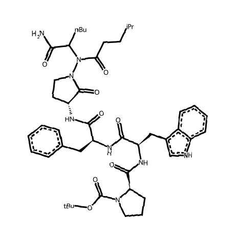 CCCCC(C(N)=O)N(C(=O)CCC(C)C)N1CC[C@@H](NC(=O)[C@H](Cc2ccccc2)NC(=O)[C@@H](Cc2c[nH]c3ccccc23)NC(=O)[C@H]2CCCN2C(=O)OC(C)(C)C)C1=O